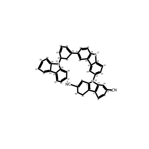 N#CC1=Cc2c(c3ccc(C#N)cc3n2-c2ccc3sc4ccc(C5=CC=CC(n6c7ccccc7c7ccccc76)C5)cc4c3c2)CC1